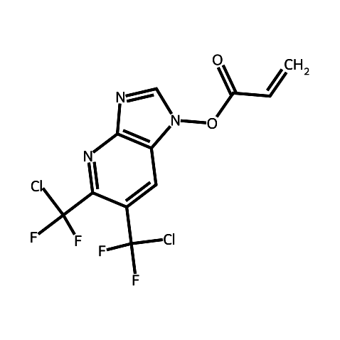 C=CC(=O)On1cnc2nc(C(F)(F)Cl)c(C(F)(F)Cl)cc21